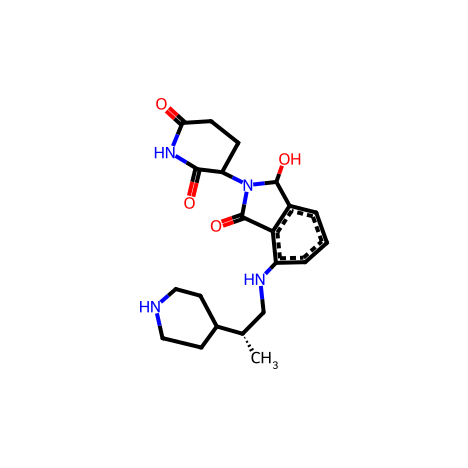 C[C@@H](CNc1cccc2c1C(=O)N(C1CCC(=O)NC1=O)C2O)C1CCNCC1